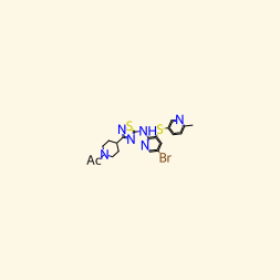 CC(=O)N1CCC(c2nsc(Nc3ncc(Br)cc3Sc3ccc(C)nc3)n2)CC1